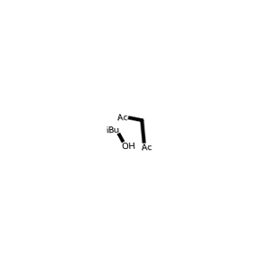 CC(=O)CC(C)=O.CCC(C)O